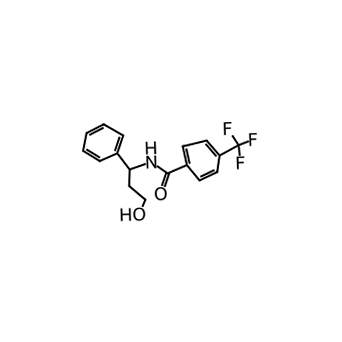 O=C(NC(CCO)c1ccccc1)c1ccc(C(F)(F)F)cc1